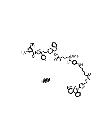 CON(CCCN(C)C(=O)CO[C@H]1Cc2ccccc2C12CCN(CC[C@@]1(c3ccc(F)cc3)CN(C(=O)c3cc(C(F)(F)F)cc(C(F)(F)F)c3)CO1)CC2)C(=O)c1ccc(NCCCCCC(=O)N(C)CCN2CCC(N(C(=O)O)c3ccccc3-c3ccccc3)CC2)cc1.Cl.Cl.Cl